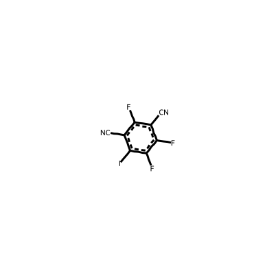 N#Cc1c(F)c(F)c(I)c(C#N)c1F